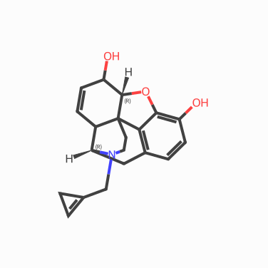 Oc1ccc2c3c1O[C@H]1C(O)C=CC4[C@@H](C2)N(CC2=CC2)CCC341